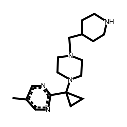 Cc1cnc(C2(N3CCN(CC4CCNCC4)CC3)CC2)nc1